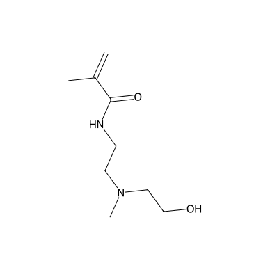 C=C(C)C(=O)NCCN(C)CCO